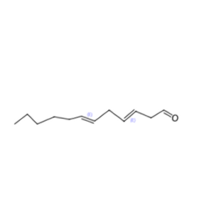 CCCCC/C=C/C/C=C/CC=O